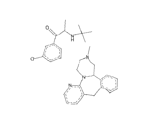 CC(NC(C)(C)C)C(=O)c1cccc(Cl)c1.CN1CCN2c3ncccc3Cc3ccccc3C2C1